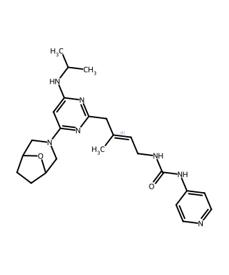 C/C(=C\CNC(=O)Nc1ccncc1)Cc1nc(NC(C)C)cc(N2CC3CCC(C2)O3)n1